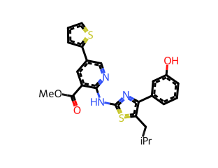 COC(=O)c1cc(-c2cccs2)cnc1Nc1nc(-c2cccc(O)c2)c(CC(C)C)s1